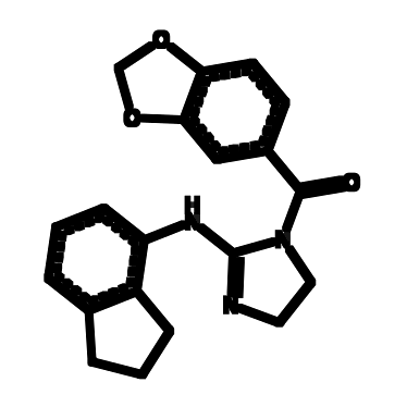 O=C(c1ccc2c(c1)OCO2)N1CCN=C1Nc1cccc2c1CCC2